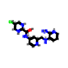 Nc1ncccc1NCc1cc(NC(=O)c2ncc(Cl)cn2)ccn1